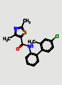 Cc1nc(C)c(C(=O)Nc2ccccc2-c2ccc(Cl)cc2C)s1